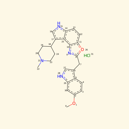 COc1ccc2c(Cc3nc4c(ccc5[nH]cc(C6CCN(C)CC6)c54)o3)c[nH]c2c1.Cl